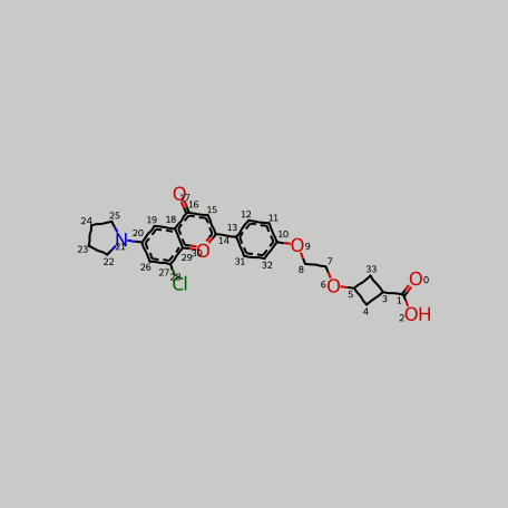 O=C(O)C1CC(OCCOc2ccc(-c3cc(=O)c4cc(N5CCCC5)cc(Cl)c4o3)cc2)C1